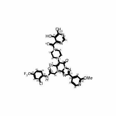 CCc1c(N2CCN(C(=O)c3ncnc(C)c3O)CC2)c(=O)n2nc(-c3ccnc(OC)c3)nc2n1CC(=O)Nc1ccc(C(F)(F)F)cc1Cl